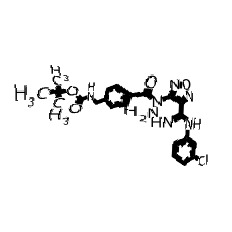 CC(C)(C)OC(=O)NCc1ccc(C(=O)N(N)c2nonc2C(=N)Nc2cccc(Cl)c2)cc1